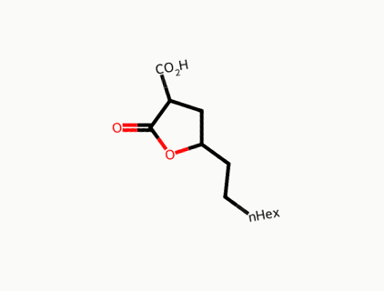 CCCCCCCCC1CC(C(=O)O)C(=O)O1